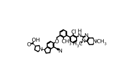 Cc1c(COc2ccc3c(c2C#N)CC[C@H]3N2CC[C@@H](C(=O)O)C2)cccc1-c1cccc(Nc2nc3c(n2C)CCN(C)C3)c1Cl